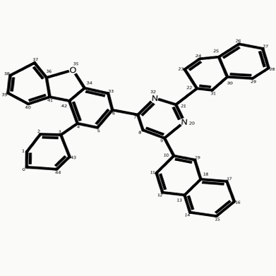 c1ccc(-c2cc(-c3cc(-c4ccc5ccccc5c4)nc(-c4ccc5ccccc5c4)n3)cc3oc4ccccc4c23)cc1